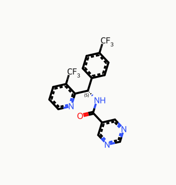 O=C(N[C@@H](c1ccc(C(F)(F)F)cc1)c1ncccc1C(F)(F)F)c1cncnc1